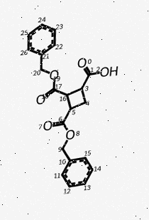 O=C(O)C1CC(C(=O)OCc2ccccc2)C1C(=O)OCc1ccccc1